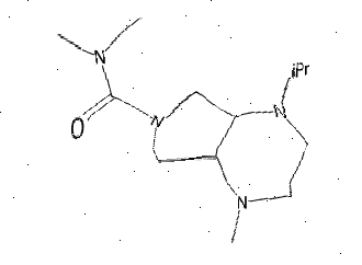 CC(C)N1CCN(C)C2CN(C(=O)N(C)C)CC21